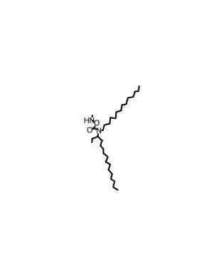 CCCCCCCCCCCCCCN(C(=O)ONC)C(CC)CCCCCCCCCCCCC